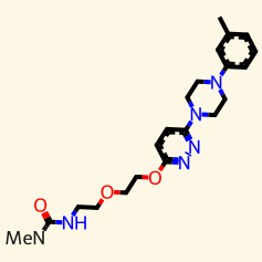 CNC(=O)NCCOCCOc1ccc(N2CCN(c3cccc(C)c3)CC2)nn1